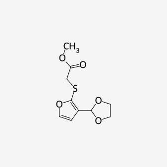 COC(=O)CSc1occc1C1OCCO1